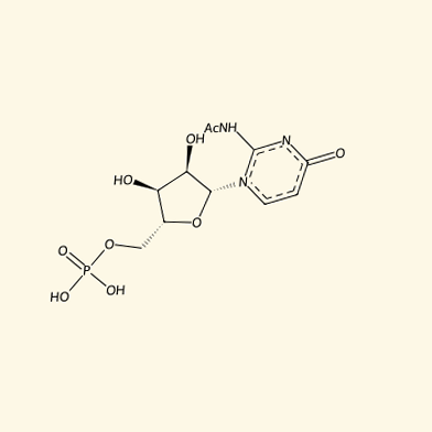 CC(=O)Nc1nc(=O)ccn1[C@@H]1O[C@H](COP(=O)(O)O)[C@@H](O)[C@H]1O